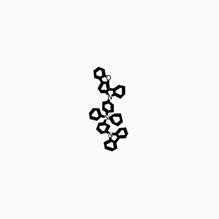 c1ccc([Si](c2ccccc2)(c2ccc(-n3c4ccccc4c4c5oc6ccccc6c5ccc43)cc2)c2cccc(-n3c4ccccc4c4ccccc43)c2)cc1